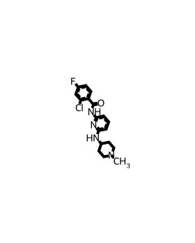 CN1CCC(Nc2cccc(NC(=O)c3ccc(F)cc3Cl)n2)CC1